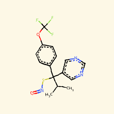 CC(C)C(SN=O)(c1ccc(OC(F)(F)F)cc1)c1cncnc1